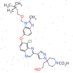 Cc1nc2ccc(Oc3ccc4ncc(-c5cnn(C6(CCO)CCN(C(=O)O)CC6)c5)nc4c3Cl)cc2n1COCC[Si](C)(C)C